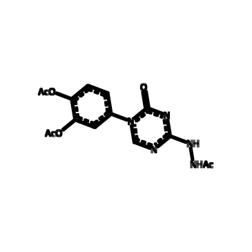 CC(=O)NNc1ncn(-c2ccc(OC(C)=O)c(OC(C)=O)c2)c(=O)n1